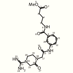 COC(=O)CCCNC(=O)c1cccc(NC(=O)CN2CCN(C(=N)N)CC2=O)c1